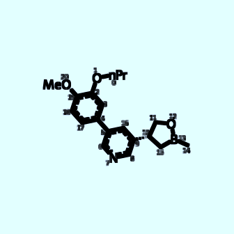 CCCOc1cc(-c2cncc([C@@H]3COB(C)C3)c2)ccc1OC